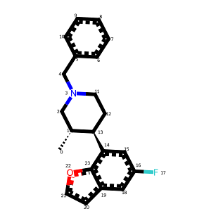 C[C@@H]1CN(Cc2ccccc2)CC[C@H]1c1cc(F)cc2ccoc12